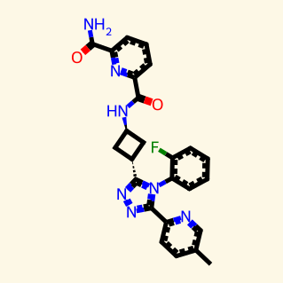 Cc1ccc(-c2nnc([C@H]3C[C@H](NC(=O)c4cccc(C(N)=O)n4)C3)n2-c2ccccc2F)nc1